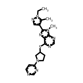 CCn1ncc(-c2nc3c(SC4CCN(c5ccncn5)C4)ncnc3n2C)c1C